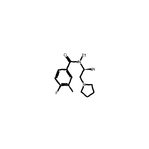 CCN(C(=O)c1ccc(F)c(C)c1)[C@H](CN1CCCC1)C(C)C